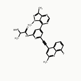 CNC(C)C(=O)Nc1cc(-c2ncnc3c(C)nn(C)c23)cc(C#Cc2cc(C)nc3c(F)cccc23)n1